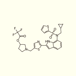 O=C(OC1CCN(Cc2cnc(-c3cc4cccc(N(CC5CC5)S(=O)(=O)c5cccs5)c4[nH]3)s2)C1)C(F)(F)F